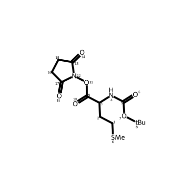 CSCCC(NC(=O)OC(C)(C)C)C(=O)ON1C(=O)CCC1=O